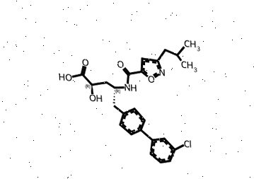 CC(C)Cc1cc(C(=O)N[C@H](Cc2ccc(-c3cccc(Cl)c3)cc2)C[C@@H](O)C(=O)O)on1